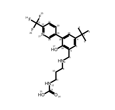 CC(C)(C)c1cc(CNCCCNC(=O)O)c(O)c(-c2ccc(C(F)(F)F)nc2)c1